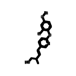 CCOc1ccc(Oc2ccc(/C=C/C(C)CO)cn2)c(Cl)c1